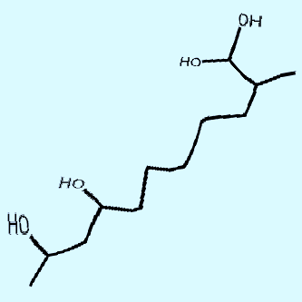 CC(O)CC(O)CCCCCC(C)C(O)O